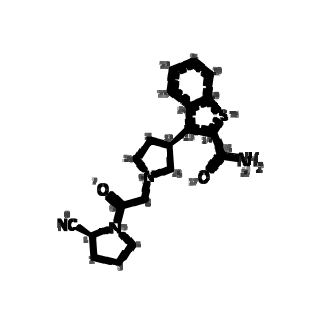 N#C[C@@H]1CCCN1C(=O)CN1CC[C@@H](c2c(C(N)=O)sc3ccccc23)C1